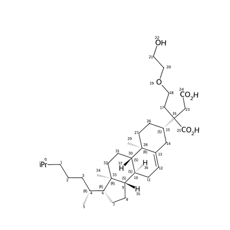 CC(C)CCC[C@@H](C)[C@H]1CC[C@H]2[C@@H]3CC=C4C[C@@H](C(CCOCCO)(CC(=O)O)C(=O)O)CC[C@]4(C)[C@H]3CC[C@]12C